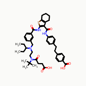 CCC(CC)N(CCN(C(=O)CCC(=O)O)C(C)(C)C)Cc1cccc(C(=O)Nc2sc3c(c2C(=O)Nc2ccc(CCc4ccc(C(=O)O)cc4)cc2)CCCC3)c1